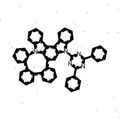 c1ccc(-c2nc(-c3ccccc3)nc(-n3c4ccccc4c4c5c6ccccc6n6c7ccccc7c7ccccc7c7ccccc7c(cc43)c56)n2)cc1